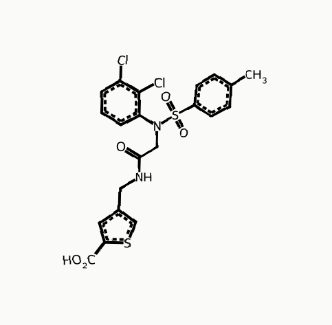 Cc1ccc(S(=O)(=O)N(CC(=O)NCc2csc(C(=O)O)c2)c2cccc(Cl)c2Cl)cc1